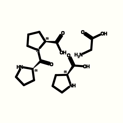 NCC(=O)O.O=C(O)[C@@H]1CCCN1.O=C(O)[C@@H]1CCCN1C(=O)[C@@H]1CCCN1